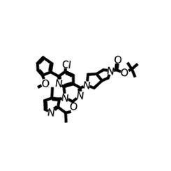 COc1ccccc1-c1nc2c(cc1Cl)c(N1CC3CN(C(=O)OC(C)(C)C)CC3C1)nc(=O)n2-c1c(C)ccnc1C(C)C